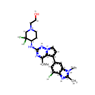 COc1nc(N[C@@H]2CCN(CCO)CC2(F)F)nn2ccc(-c3cc(F)c4nc(C)n(C(C)C)c4c3)c12